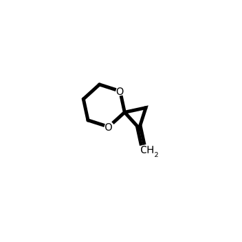 C=C1CC12OCCCO2